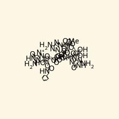 CO[C@@H]1[C@H](P(=O)([O-])OCC2O[C@@H](n3cnc4c(=O)[nH]c(N)nc43)[C@H](O)[C@@H]2O)[C@@H](COP(=O)(O)OP(=O)(O)OP(=O)(O)OC[C@H]2O[C@@H](n3c[n+](C)c4c(=O)[nH]c(N)nc43)[C@H](O)[C@@H]2COC(=O)NCc2ccccc2)O[C@H]1n1cnc2c(N)ncnc21